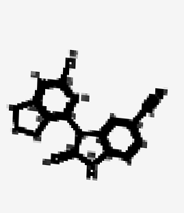 N#Cc1ccc2c(c1)C(c1nc(Cl)nc3c1CCC3)C(=O)N2